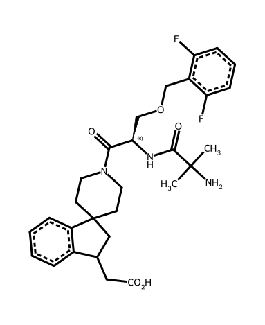 CC(C)(N)C(=O)N[C@H](COCc1c(F)cccc1F)C(=O)N1CCC2(CC1)CC(CC(=O)O)c1ccccc12